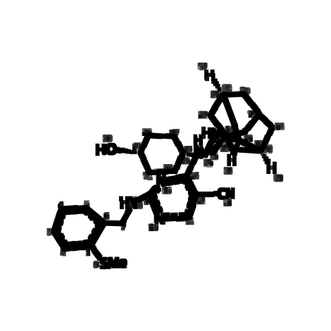 CSc1ccccc1CNc1ncc(C#N)c(NC[C@]23CC4C[C@H](C2)[C@@H](NC[C@H]2CC[C@@H](O)CC2)[C@@H](C4)C3)n1